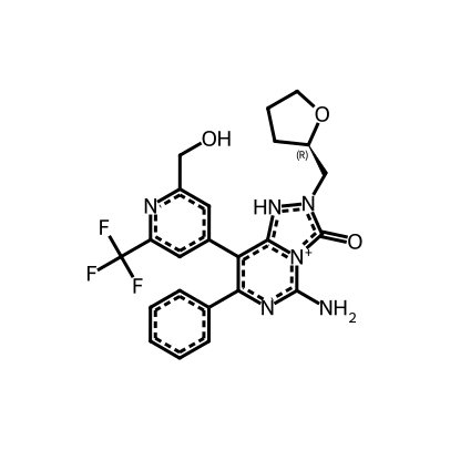 Nc1nc(-c2ccccc2)c(-c2cc(CO)nc(C(F)(F)F)c2)c2[nH]n(C[C@H]3CCCO3)c(=O)[n+]12